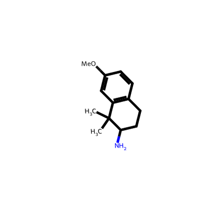 COc1ccc2c(c1)C(C)(C)C(N)CC2